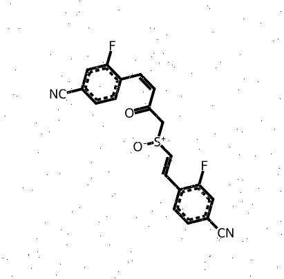 N#Cc1ccc(/C=C\C(=O)C[S+]([O-])/C=C/c2ccc(C#N)cc2F)c(F)c1